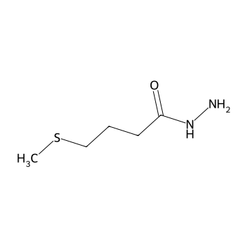 CSCCCC(=O)NN